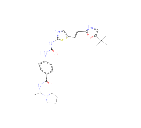 CC(NC(=O)c1ccc(NC(=O)Nc2ncc(/C=C/c3ncc(C(C)(C)C)o3)s2)cc1)N1CCCC1